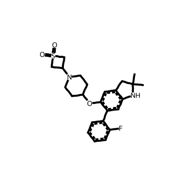 CC1(C)Cc2cc(OC3CCN(C4CS(=O)(=O)C4)CC3)c(-c3ccccc3F)cc2N1